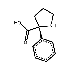 O=C(O)[C@]1(c2ccccc2)CCCN1